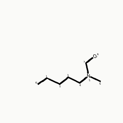 CCCCCN(C)C[O]